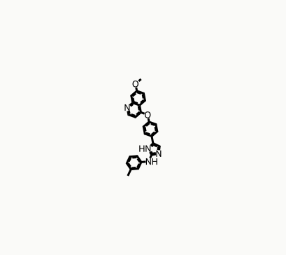 COc1ccc2c(Oc3ccc(-c4cnc(Nc5cccc(C)c5)[nH]4)cc3)ccnc2c1